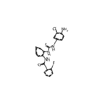 Nc1ccc(NC(=S)Nc2ccccc2NC(=O)c2ccccc2F)cc1Cl